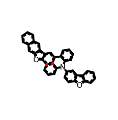 c1ccc(N(c2ccc3oc4ccccc4c3c2)c2ccccc2-c2ccc3oc4cc5ccccc5cc4c3c2)cc1